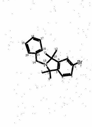 CC1(C)c2ccc(Br)cc2C(C)(C)N1Cc1ccccc1